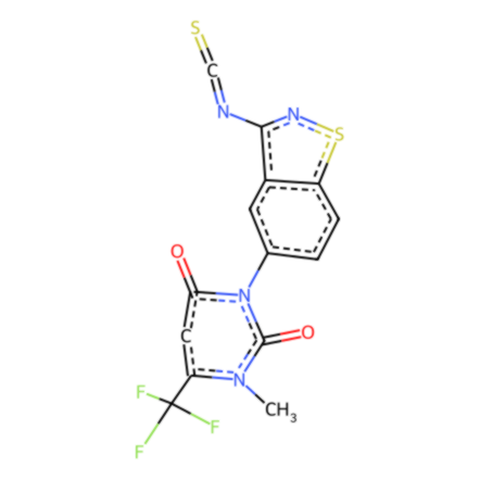 Cn1c(C(F)(F)F)cc(=O)n(-c2ccc3snc(N=C=S)c3c2)c1=O